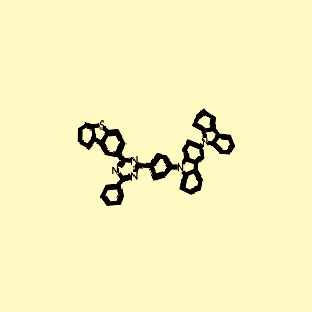 c1ccc(-c2nc(-c3ccc(-n4c5ccccc5c5cc(-n6c7ccccc7c7ccccc76)ccc54)cc3)nc(-c3ccc4sc5ccccc5c4c3)n2)cc1